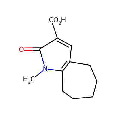 Cn1c2c(cc(C(=O)O)c1=O)CCCCC2